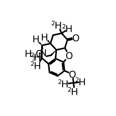 [2H]C([2H])([2H])Oc1ccc2c3c1OC1C(=O)C([2H])([2H])C[C@H]4[C@H](N(C)CC[C@]314)C2([2H])[2H]